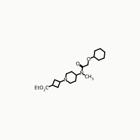 CCOC(=O)C1CC(N2CCC(N(C)C(=O)COC3CCCCC3)CC2)C1